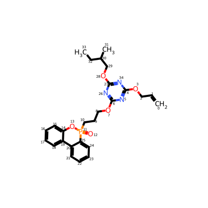 C=CCOc1nc(OCCCP2(=O)Oc3ccccc3-c3ccccc32)nc(OCC(C)CC)n1